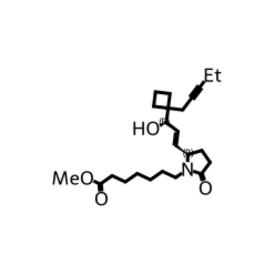 CCC#CCC1([C@H](O)C=C[C@H]2CCC(=O)N2CCCCCCC(=O)OC)CCC1